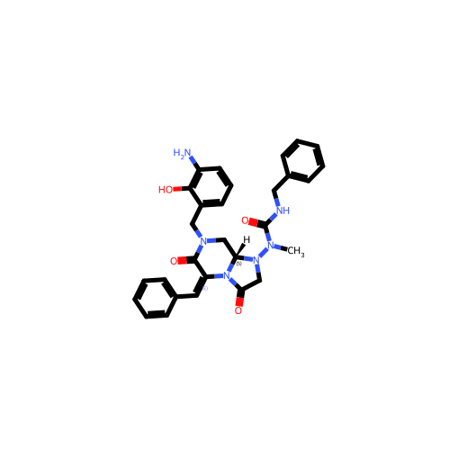 CN(C(=O)NCc1ccccc1)N1CC(=O)N2/C(=C/c3ccccc3)C(=O)N(Cc3cccc(N)c3O)C[C@@H]21